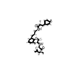 CC(=O)[C@@H](C)N(C)C(=O)CNC[C@@H](C)Oc1c(F)cccc1CCCNC(=O)[C@H](C)Cc1ccc(F)cc1